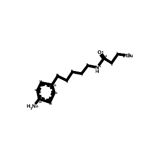 CC(C)(C)CCC(=O)NCCCCCc1ccc(N)cc1